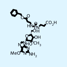 COc1nc(N)nc2c1ncn2[C@@H]1O[C@H](COP(=O)(NCCC(=O)O)NCCC(=O)OCc2ccccc2)[C@@H](O)[C@@]1(C)O